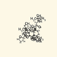 C=C[C@@]1(C)CC(=O)[C@]2(O)[C@@]3(C)[C@@H](OC(=O)CNC(C)(C)C)CCC(C)(C)[C@@H]3[C@H](O)[C@H](OC(=O)C3CCCO3)[C@@]2(C)O1.Cl.O